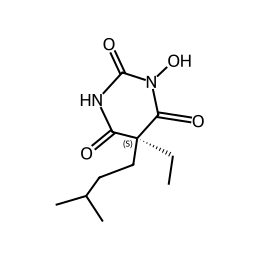 CC[C@]1(CCC(C)C)C(=O)NC(=O)N(O)C1=O